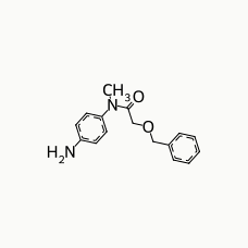 CN(C(=O)COCc1ccccc1)c1ccc(N)cc1